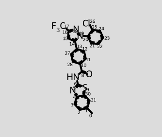 Cc1ccc2nc(NC(=O)c3ccc(-c4cc(C(F)(F)F)nn4-c4ccccc4Cl)cc3)sc2c1